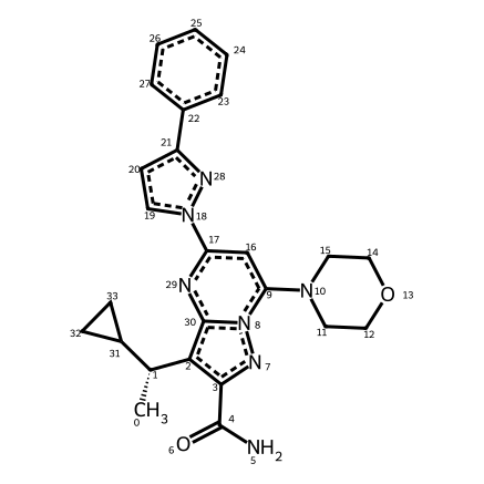 C[C@@H](c1c(C(N)=O)nn2c(N3CCOCC3)cc(-n3ccc(-c4ccccc4)n3)nc12)C1CC1